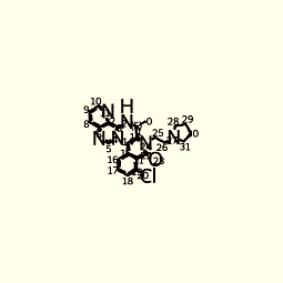 C[C@H](Nc1ncnc2cccnc12)c1cc2cccc(Cl)c2c(=O)n1CCN1CCCC1